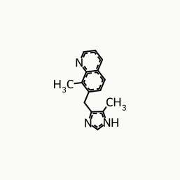 Cc1[nH]cnc1Cc1ccc2cccnc2c1C